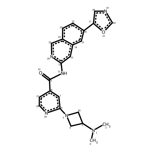 CN(C)C1CN(c2cc(C(=O)Nc3cc4cc(-c5cnco5)ccc4cn3)ccn2)C1